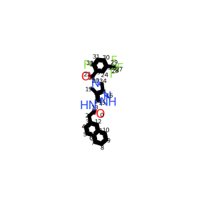 O=C(Cc1ccc2ccccc2c1)Nc1[nH]nc2c1CN(C(=O)c1cc(C(F)(F)F)ccc1F)C2